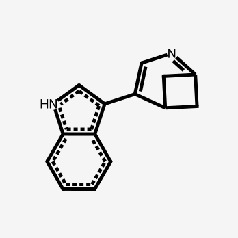 C1=C(c2c[nH]c3ccccc23)C2CC(=N1)C2